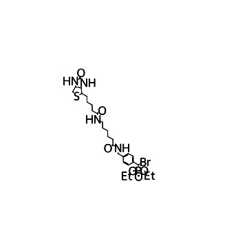 CCOP(=O)(OCC)C(Br)c1ccc(CNC(=O)CCCCCNC(=O)CCCCC2SCC3NC(=O)NC32)cc1